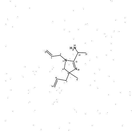 C=CCN1CC(C)(CC=C)N=C1C(C)N